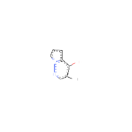 Cc1cnn2cccc2c1O